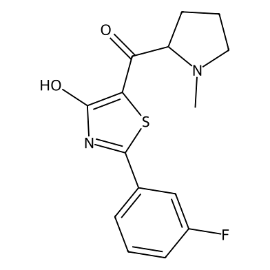 CN1CCCC1C(=O)c1sc(-c2cccc(F)c2)nc1O